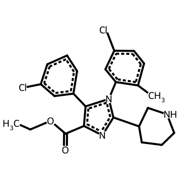 CCOC(=O)c1nc(C2CCCNC2)n(-c2cc(Cl)ccc2C)c1-c1cccc(Cl)c1